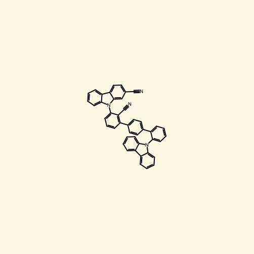 N#Cc1ccc2c3ccccc3n(-c3cccc(-c4ccc(-c5ccccc5-n5c6ccccc6c6ccccc65)cc4)c3C#N)c2c1